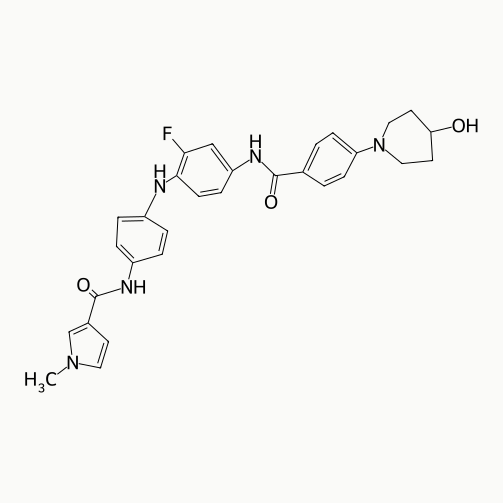 Cn1ccc(C(=O)Nc2ccc(Nc3ccc(NC(=O)c4ccc(N5CCC(O)CC5)cc4)cc3F)cc2)c1